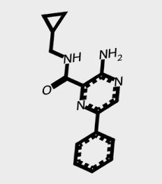 Nc1ncc(-c2ccccc2)nc1C(=O)NCC1CC1